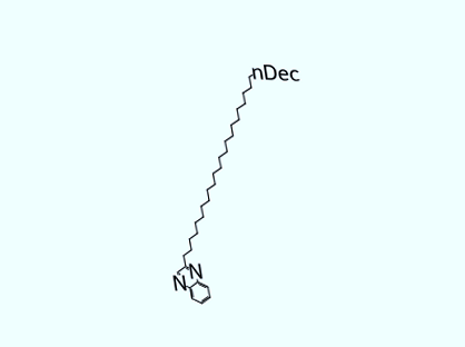 CCCCCCCCCCCCCCCCCCCCCCCCCCCCCCCCCc1cnc2ccccc2n1